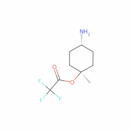 C[C@]1(OC(=O)C(F)(F)F)CC[C@H](N)CC1